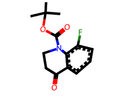 CC(C)(C)OC(=O)N1CCC(=O)c2cccc(F)c21